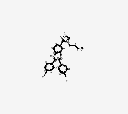 OCCCn1cnnc1-c1ccc2nc(-c3ccc(F)cc3)c(-c3ccc(F)cc3)nc2c1